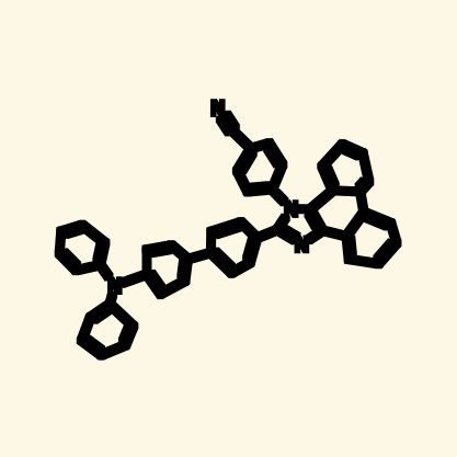 N#Cc1ccc(-n2c(-c3ccc(-c4ccc(N(c5ccccc5)c5ccccc5)cc4)cc3)nc3c4ccccc4c4ccccc4c32)cc1